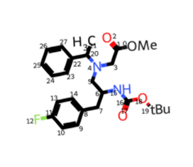 COC(=O)CN(CC(Cc1ccc(F)cc1)NC(=O)OC(C)(C)C)C(C)c1ccccc1